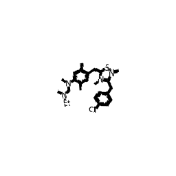 CCN(C)CN(C)c1cc(C)c(CC2SN(C)C(Cc3ccc(Cl)cc3)N2C)cc1C